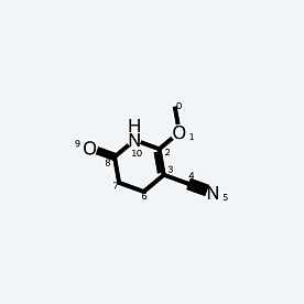 COC1=C(C#N)CCC(=O)N1